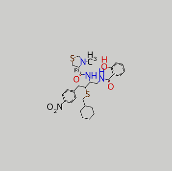 CN1CSC[C@H]1C(=O)NC(CNC(=O)c1ccccc1O)C(Cc1ccc([N+](=O)[O-])cc1)SCC1CCCCC1